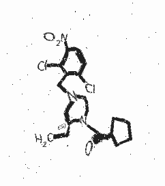 C=C[C@H]1CN(Cc2c(Cl)ccc([N+](=O)[O-])c2Cl)CCN1C(=O)C1CCCC1